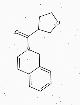 O=C(C1CCOC1)N1C=Cc2ccccc2C1